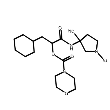 CCN1CCC(C#N)(NC(=O)C(CC2CCCCC2)OC(=O)N2CCOCC2)C1